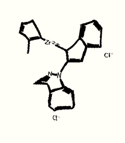 CC1=[C]([Zr+2][CH]2C(n3ncc4ccccc43)=Cc3ccccc32)CC=C1.[Cl-].[Cl-]